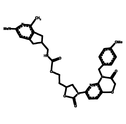 CNc1cc2c(c(C)n1)CC(CNC(=O)OCCC1CN(c3ccc4c(n3)N(Cc3ccc(OC)cc3)C(=O)CO4)C(=O)O1)C2